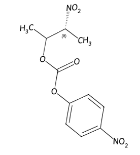 CC(OC(=O)Oc1ccc([N+](=O)[O-])cc1)[C@@H](C)[N+](=O)[O-]